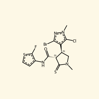 CN1C[C@H](c2c(Br)nn(C)c2Cl)[C@@H](C(=O)Nc2ccsc2F)C1=S